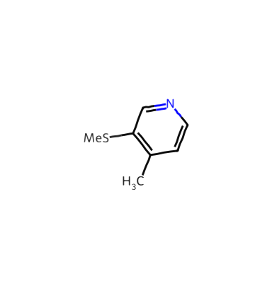 CSc1cnccc1C